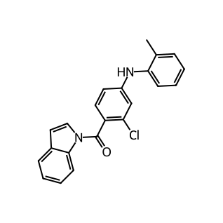 Cc1ccccc1Nc1ccc(C(=O)n2ccc3ccccc32)c(Cl)c1